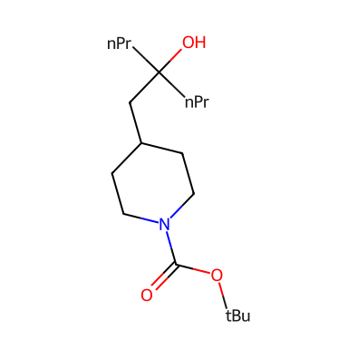 CCCC(O)(CCC)CC1CCN(C(=O)OC(C)(C)C)CC1